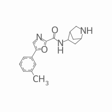 Cc1cccc(-c2cnc(C(=O)NC3CC4CC3CN4)o2)c1